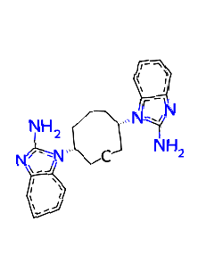 Nc1nc2ccccc2n1[C@H]1CCC[C@@H](n2c(N)nc3ccccc32)CCC1